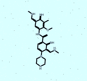 C=C(NC1=C/C(=C/NC)C(=N)C(C)=C1OC)C1=CC=C(N2CCNCC2)/C(=C/NC)C1=N